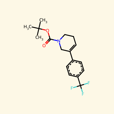 CC(C)(C)OC(=O)N1CCC=C(c2ccc(C(F)(F)F)cc2)C1